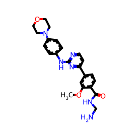 COc1cc(-c2ccnc(Nc3ccc(N4CCOCC4)cc3)n2)ccc1C(=O)NCN